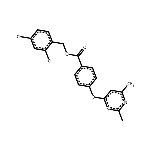 Cc1nc(Oc2ccc(C(=O)OCc3ccc(Cl)cc3Cl)cc2)cc(C(F)(F)F)n1